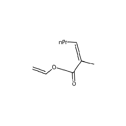 C=COC(=O)C(C)=CCCC